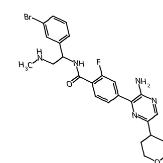 CNCC(NC(=O)c1ccc(-c2nc(C3CCOCC3)cnc2N)cc1F)c1cccc(Br)c1